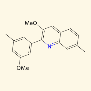 COc1cc(C)cc(-c2nc3cc(C)ccc3cc2OC)c1